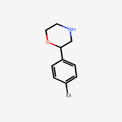 CCc1ccc(C2CNCCO2)cc1